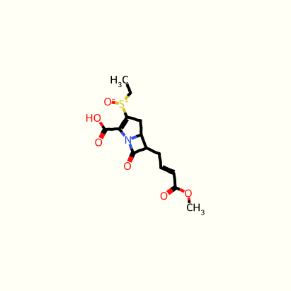 CC[S+]([O-])C1=C(C(=O)O)N2C(=O)C(CC=CC(=O)OC)C2C1